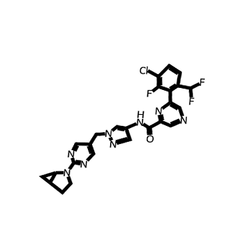 O=C(Nc1cnn(Cc2cnc(N3CCC4CC43)nc2)c1)c1cncc(-c2c(C(F)F)ccc(Cl)c2F)n1